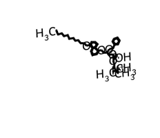 CCCCCCCCCCCCOc1cccc2c(OCC(COP(O)OCC[N+](C)(C)C)OCc3ccccc3)cccc12